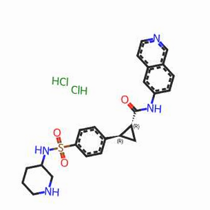 Cl.Cl.O=C(Nc1ccc2cnccc2c1)[C@@H]1C[C@H]1c1ccc(S(=O)(=O)NC2CCCNC2)cc1